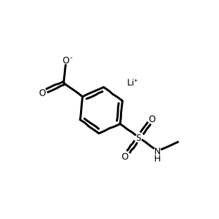 CNS(=O)(=O)c1ccc(C(=O)[O-])cc1.[Li+]